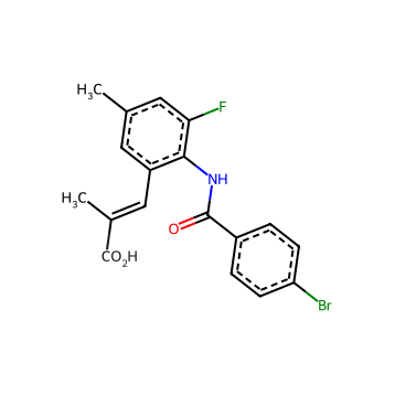 CC(=Cc1cc(C)cc(F)c1NC(=O)c1ccc(Br)cc1)C(=O)O